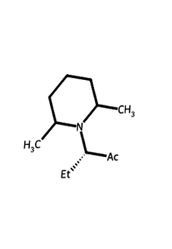 CC[C@@H](C(C)=O)N1C(C)CCCC1C